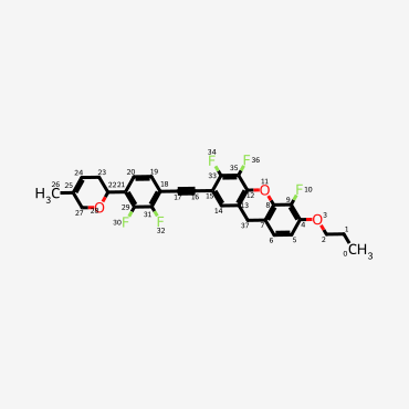 CCCOc1ccc2c(c1F)Oc1c(cc(C#Cc3ccc(C4CC=C(C)CO4)c(F)c3F)c(F)c1F)C2